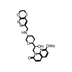 COc1ccc2ccc(=O)n(C[C@H](O)[C@@H]3CC[C@@H](NCc4cc5c(nn4)OCCS5)CO3)c2n1